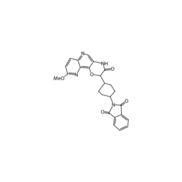 COc1ccc2ncc3c(c2n1)OC(C1CCC(N2C(=O)c4ccccc4C2=O)CC1)C(=O)N3